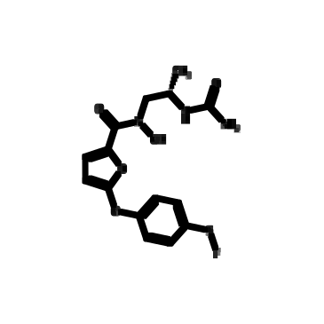 C[C@@H](CN(O)C(=O)c1ccc(Oc2ccc(SF)cc2)o1)NC(N)=O